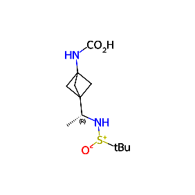 C[C@@H](N[S+]([O-])C(C)(C)C)C12CC(NC(=O)O)(C1)C2